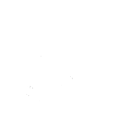 O=C(O)c1ccccc1-c1c(C2CCOCC2)n(-c2ccc(F)cc2)c2cc3cn[nH]c3cc12